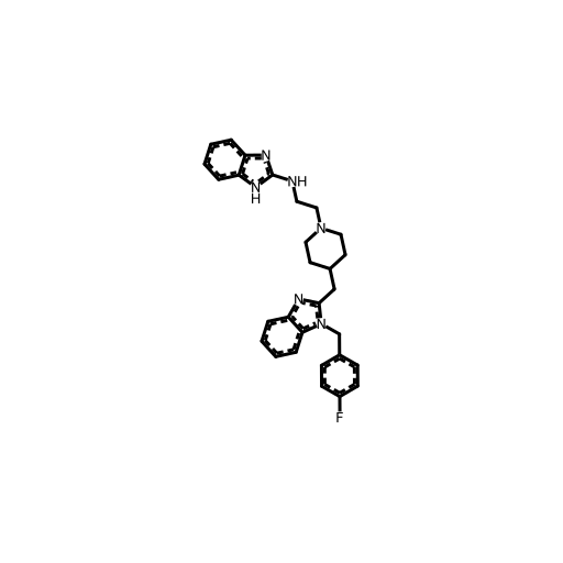 Fc1ccc(Cn2c(CC3CCN(CCNc4nc5ccccc5[nH]4)CC3)nc3ccccc32)cc1